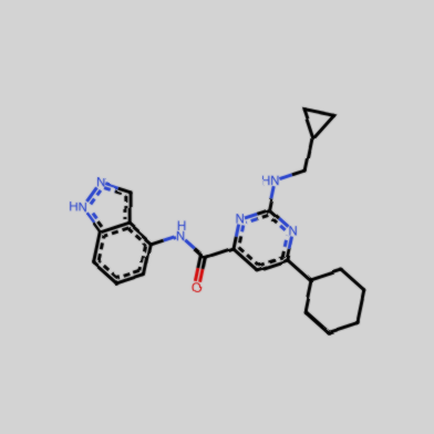 O=C(Nc1cccc2[nH]ncc12)c1cc(C2CCCCC2)nc(NCC2CC2)n1